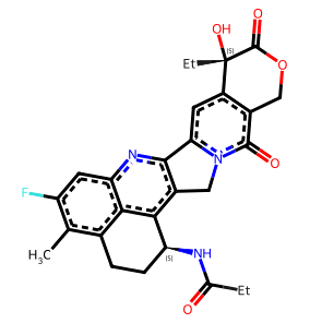 CCC(=O)N[C@H]1CCc2c(C)c(F)cc3nc4c(c1c23)Cn1c-4cc2c(c1=O)COC(=O)[C@]2(O)CC